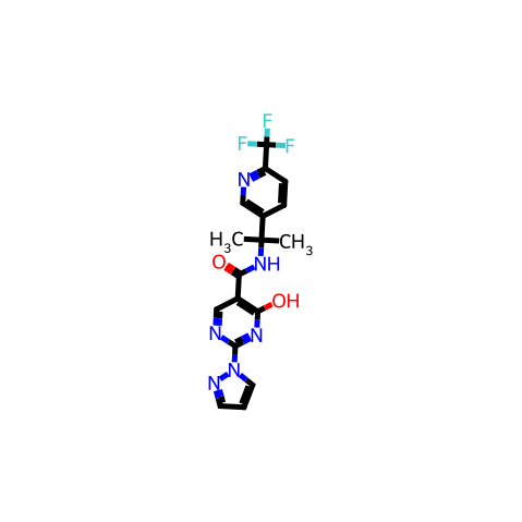 CC(C)(NC(=O)c1cnc(-n2cccn2)nc1O)c1ccc(C(F)(F)F)nc1